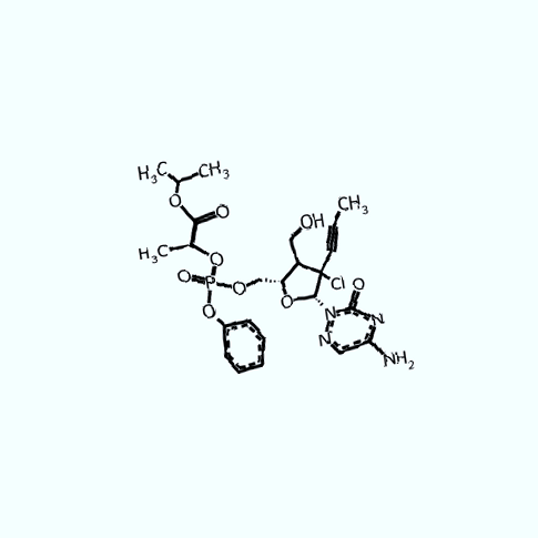 CC#CC1(Cl)C(CO)[C@@H](COP(=O)(Oc2ccccc2)O[C@@H](C)C(=O)OC(C)C)O[C@H]1n1ncc(N)nc1=O